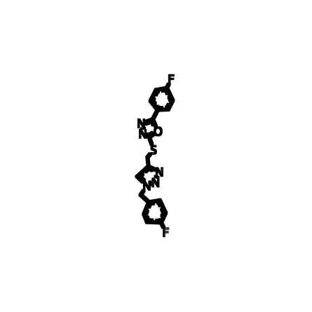 Fc1ccc(Cn2cc(CSc3nnc(-c4ccc(F)cc4)o3)nn2)cc1